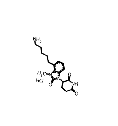 Cl.Cn1c(=O)n(C2CCC(=O)NC2=O)c2cccc(CCCCCN)c21